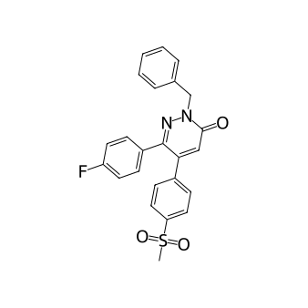 CS(=O)(=O)c1ccc(-c2cc(=O)n(Cc3ccccc3)nc2-c2ccc(F)cc2)cc1